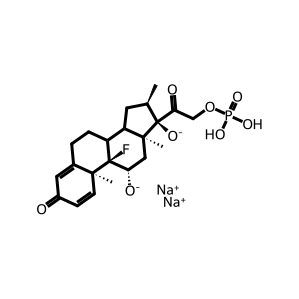 C[C@@H]1CC2C3CCC4=CC(=O)C=C[C@]4(C)[C@@]3(F)[C@@H]([O-])C[C@]2(C)[C@@]1([O-])C(=O)COP(=O)(O)O.[Na+].[Na+]